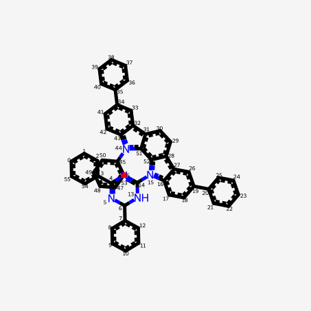 c1ccc(C2=NC(c3ccccc3)NC(n3c4ccc(-c5ccccc5)cc4c4ccc5c6cc(-c7ccccc7)ccc6n(-c6ccccc6)c5c43)=N2)cc1